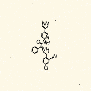 Cn1cc(-c2ccc(NC(=O)[C@@H](NCCc3ccc(Cl)cc3C#N)c3ccccc3)nc2)cn1